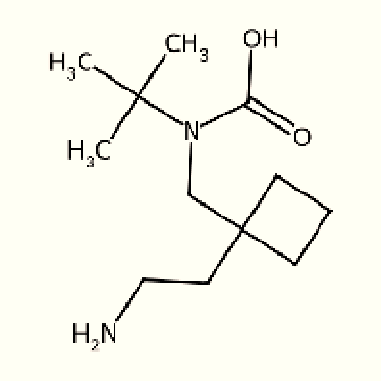 CC(C)(C)N(CC1(CCN)CCC1)C(=O)O